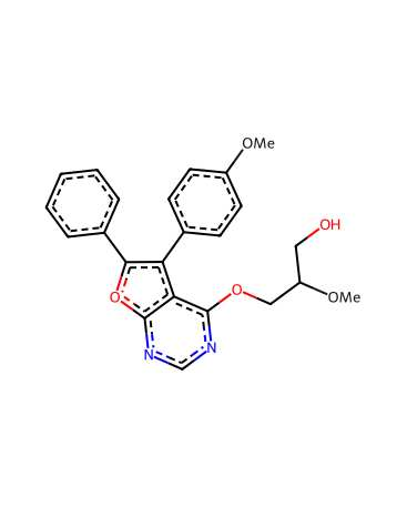 COc1ccc(-c2c(-c3ccccc3)oc3ncnc(OCC(CO)OC)c23)cc1